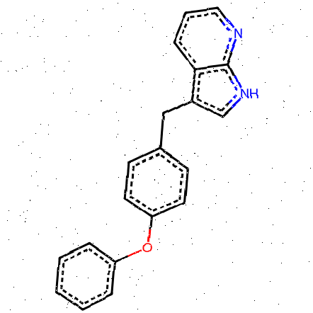 c1ccc(Oc2ccc(Cc3c[nH]c4ncccc34)cc2)cc1